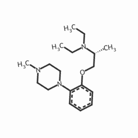 CCN(CC)[C@H](C)COc1ccccc1N1CCN(C)CC1